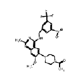 COc1cc2nc(C)nc(NCc3cc([N+](=O)[O-])cc(C(F)(F)F)c3)c2cc1P1CCN(C(C)=O)CC1